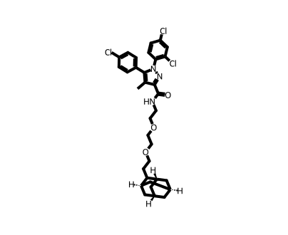 Cc1c(C(=O)NCCOCCOCCC2[C@H]3C[C@@H]4C[C@@H](C[C@H]2C4)C3)nn(-c2ccc(Cl)cc2Cl)c1-c1ccc(Cl)cc1